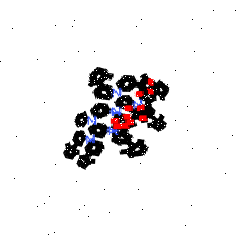 Cc1cccc(C)c1-c1cccc(N(c2cccc(-c3c(C)cccc3C)c2)c2cc(N(c3ccccc3)c3cccc(N(c4ccccc4)c4cc(N(c5cccc(-c6c(C)cccc6C)c5)c5cccc(-c6c(C)cccc6C)c5)cc(-n5c6ccc(-c7c(C)cccc7C)cc6c6cc(-c7c(C)cccc7C)ccc65)c4)c3)cc(-n3c4ccc(-c5c(C)cccc5C)cc4c4cc(-c5c(C)cccc5C)ccc43)c2)c1